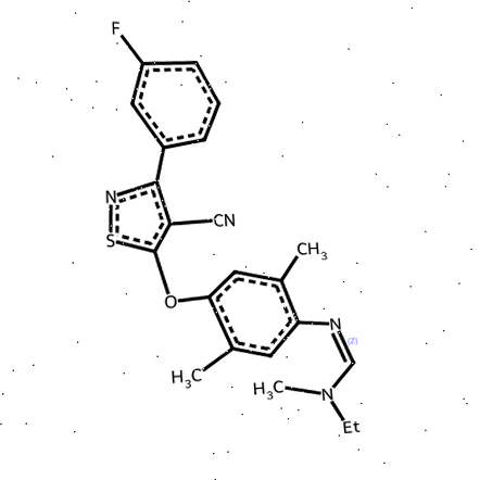 CCN(C)/C=N\c1cc(C)c(Oc2snc(-c3cccc(F)c3)c2C#N)cc1C